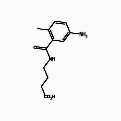 Cc1ccc(N)cc1C(=O)NCCCC(=O)O